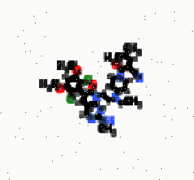 CCN(CCn1c(=O)c(-c2c(Cl)c(OC)cc(OC)c2Cl)cc2cnc(NC)nc21)C1CCN(C(=O)/C(C#N)=C\C(C)C)CC1